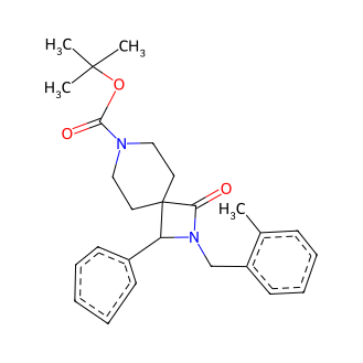 Cc1ccccc1CN1C(=O)C2(CCN(C(=O)OC(C)(C)C)CC2)C1c1ccccc1